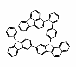 c1ccc(-n2c3ccccc3c3cc(-c4ccc5c6ccc7ccccc7c6n(-c6ccc(-c7ccccc7-c7ccc8c9c(cccc79)-c7ccccc7-8)cc6)c5c4)ccc32)cc1